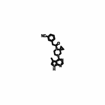 Cc1c[nH]c2ncnc(N3CCN(C(=O)Cc4cccc(C#N)c4)C4(CC4)C3)c12